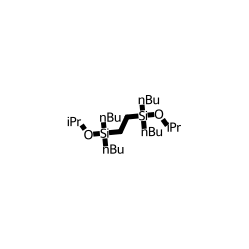 CCCC[Si](CCCC)(CC[Si](CCCC)(CCCC)OC(C)C)OC(C)C